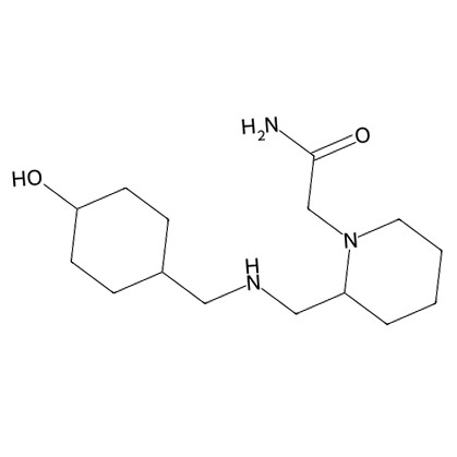 NC(=O)CN1CCCCC1CNCC1CCC(O)CC1